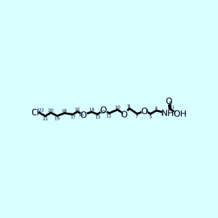 O=C(O)NCCOCCOCCOCCOCCCCCCCl